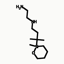 CC(C)(CCNCCN)[Si]1(C)CCCCO1